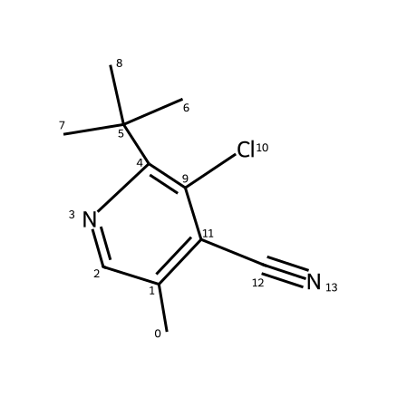 Cc1cnc(C(C)(C)C)c(Cl)c1C#N